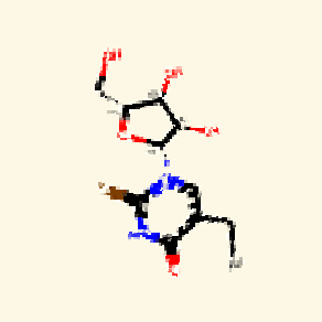 O=c1[nH]c(=S)n([C@@H]2O[C@H](CO)[C@@H](O)[C@H]2O)cc1[CH2][Au]